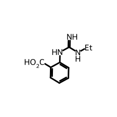 CCNC(=N)Nc1ccccc1C(=O)O